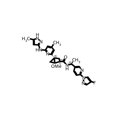 CO[C@@]1(C(=O)N[C@@H](C)c2ccc(-n3cc(F)cn3)nc2)C[C@]2(c3cc(C)cc(Nc4cc(C)[nH]n4)n3)CC21